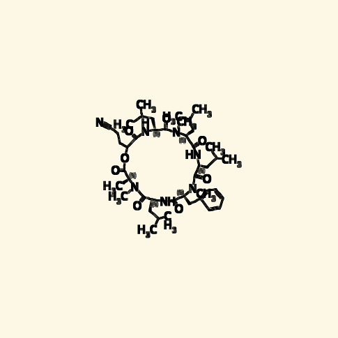 CC(C)C[C@@H]1NC(=O)[C@H](Cc2ccccc2)N(C)C(=O)[C@H](CC(C)C)NC(=O)[C@H](CC(C)C)N(C)C(=O)[C@H](CC(C)C)NC(=O)C(CCC#N)OC(=O)[C@H](C)N(C)C1=O